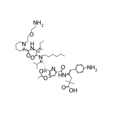 CCCCCCN(C(=O)[C@@H](NC(=O)[C@H]1CCCCN1CCOCCN)[C@@H](C)CC)[C@H](C[C@@H](OC(C)=O)c1nc(C(=O)N[C@@H](Cc2ccc(N)cc2)CC(C)(C)C(=O)O)cs1)C(C)C